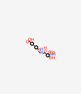 C[C@H](COc1ccc(-c2ccc(C(=O)O)cc2)cc1)NC[C@@H](O)c1ccc(O)c(NS(C)(=O)=O)c1